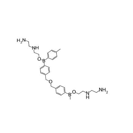 CB(OCCNCCN)c1ccc(COCc2ccc(B(OCCNCCN)c3ccc(C)cc3)cc2)cc1